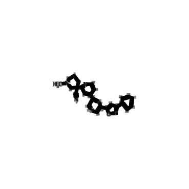 CN1CCCC(C#N)(c2cc(-c3cncc(-c4cc(-c5ccccc5)no4)n3)ccn2)C1